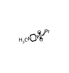 CC(C)CS(=O)(=O)N1CCN(C)CC1